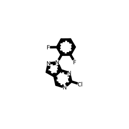 Fc1cccc(F)c1-n1ncc2cnc(Cl)nc21